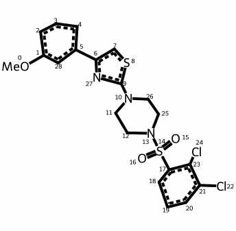 COc1cccc(-c2csc(N3CCN(S(=O)(=O)c4cccc(Cl)c4Cl)CC3)n2)c1